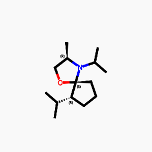 CC(C)[C@H]1CCC[C@]12OC[C@@H](C)N2C(C)C